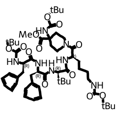 COC(=O)C1(NC(=O)OC(C)(C)C)CCN(C(=O)[C@@H](CCCCNC(=O)OC(C)(C)C)NC(=O)[C@H](NC(=O)[C@@H](Cc2ccccc2)NC(=O)[C@@H](Cc2ccccc2)NC(=O)OC(C)(C)C)C(C)(C)C)CC1